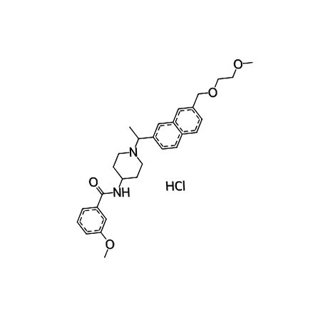 COCCOCc1ccc2ccc(C(C)N3CCC(NC(=O)c4cccc(OC)c4)CC3)cc2c1.Cl